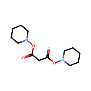 O=C(CC(=O)ON1CCCCC1)ON1CCCCC1